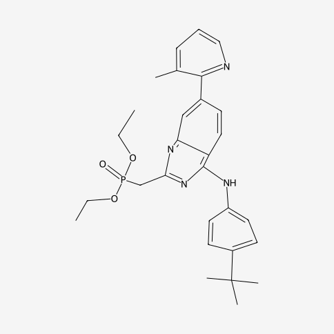 CCOP(=O)(Cc1nc(Nc2ccc(C(C)(C)C)cc2)c2ccc(-c3ncccc3C)cc2n1)OCC